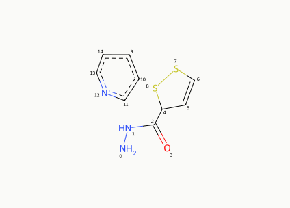 NNC(=O)C1C=CSS1.c1ccncc1